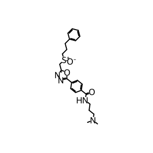 CN(C)CCCNC(=O)c1ccc(-c2nnc(C[S+]([O-])CCCc3ccccc3)o2)cc1